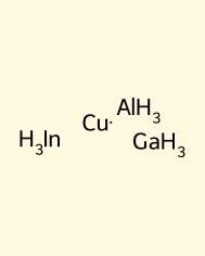 [AlH3].[Cu].[GaH3].[InH3]